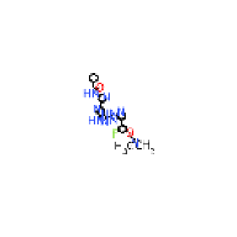 CN(C)CCOc1cc(F)cc(-c2ccnc3[nH]c(-c4n[nH]c5cnc(-c6cncc(NC(=O)CC7CCCCC7)c6)cc45)nc23)c1